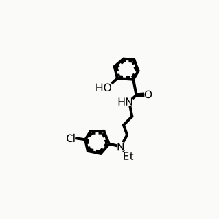 CCN(CCCNC(=O)c1ccccc1O)c1ccc(Cl)cc1